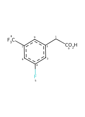 O=C(O)Cc1cc(F)cc(C(F)(F)F)c1